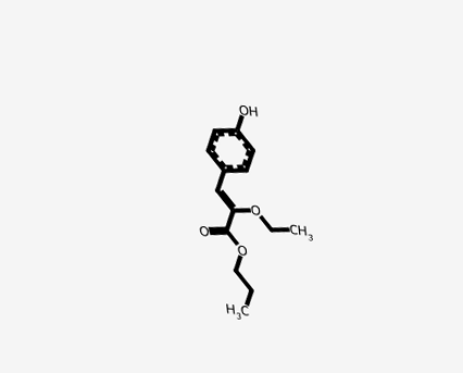 CCCOC(=O)/C(=C/c1ccc(O)cc1)OCC